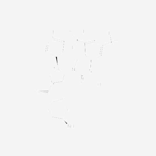 CN(C(=O)N(C)[C@@H]1CN(C(=O)[C@H]2CC[C@H](N)CC2)C[C@H]1c1ccc(F)cc1)c1cc(C(F)(F)F)cc(C(F)(F)F)c1.Cl